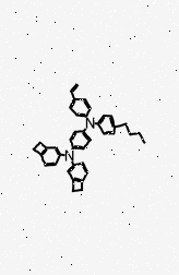 C=Cc1ccc(N(c2ccc(CCCC)cc2)c2ccc(N(c3ccc4c(c3)CC4)c3ccc4c(c3)CC4)cc2)cc1